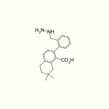 CC1(C)CCc2ccc(-c3ccccc3CNN)c(C(=O)O)c2C1